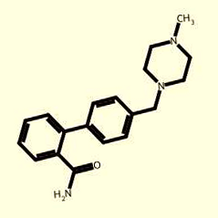 CN1CCN(Cc2ccc(-c3ccccc3C(N)=O)cc2)CC1